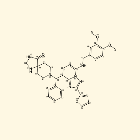 COc1ccc(CNc2ncc(C(c3ccccc3)N3CCC4(CC3)NCNC4=O)c3nc(-c4ccco4)nn23)cc1OC